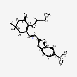 CCN(CC)c1ccc2cc(/C=C/C3=C(OCCO)C(=O)CC(C)(C)C3)oc2c1